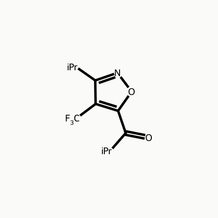 CC(C)C(=O)c1onc(C(C)C)c1C(F)(F)F